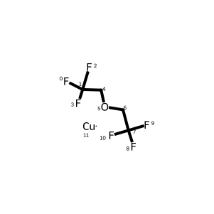 FC(F)(F)COCC(F)(F)F.[Cu]